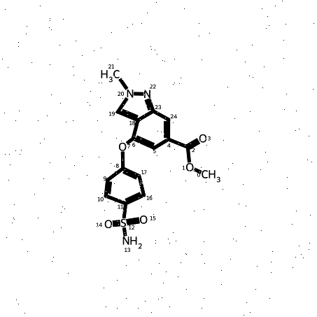 COC(=O)c1cc(Oc2ccc(S(N)(=O)=O)cc2)c2cn(C)nc2c1